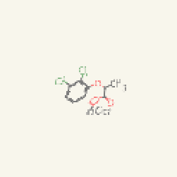 CCCCCCCCOC(=O)C(C)Oc1cccc(Cl)c1Cl